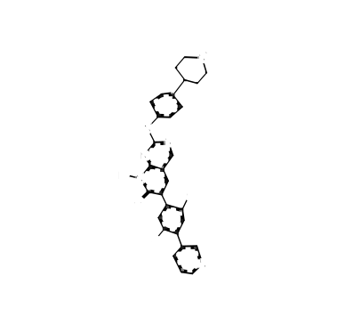 CCn1c(=O)c(-c2cc(C)c(-c3cccnc3)cc2Cl)cc2cnc(Nc3ccc(C4CCN(C)CC4)cc3)nc21